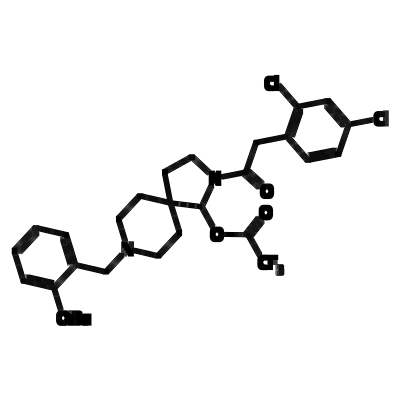 CC(C)COc1ccccc1CN1CCC2(CC1)CCN(C(=O)Cc1ccc(Cl)cc1Cl)C2OC(=O)C(F)(F)F